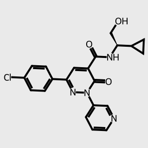 O=C(N[C@@H](CO)C1CC1)c1cc(-c2ccc(Cl)cc2)nn(-c2cccnc2)c1=O